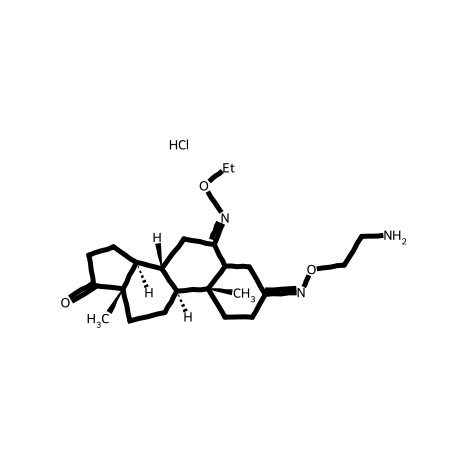 CCO/N=C1\C[C@@H]2[C@H](CC[C@]3(C)C(=O)CC[C@@H]23)[C@@]2(C)CC/C(=N/OCCN)CC12.Cl